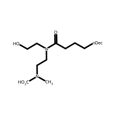 CCCCCCCCCCCCCC(=O)N(CCO)CCN(C)C(=O)O